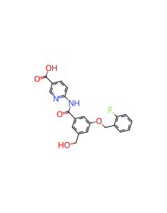 O=C(O)c1ccc(NC(=O)c2cc(CO)cc(OCc3ccccc3F)c2)nc1